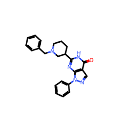 O=c1[nH]c(C2CCCN(Cc3ccccc3)C2)nc2c1cnn2-c1ccccc1